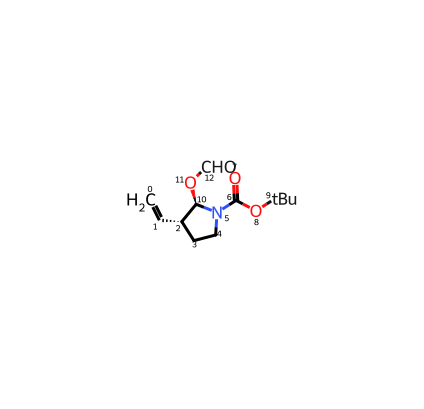 C=C[C@H]1CCN(C(=O)OC(C)(C)C)[C@@H]1OC=O